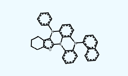 c1ccc(N2c3cccc4c3B(c3ccccc3N4c3cccc4ccccc34)c3oc4c(c32)CCCC4)cc1